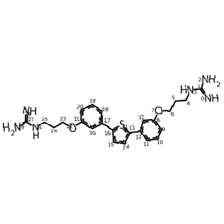 N=C(N)NCCCOc1cccc(-c2ccc(-c3cccc(OCCCNC(=N)N)c3)s2)c1